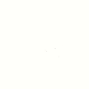 C/C=C\C=N/[Si](C)(C)C